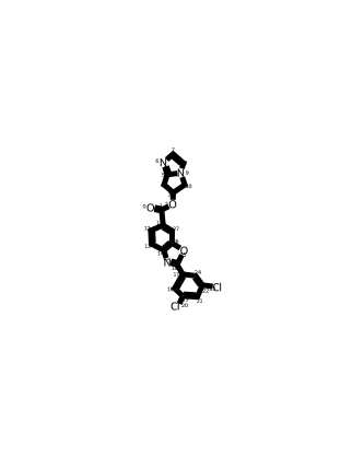 O=C(OC1Cc2nccn2C1)c1ccc2nc(-c3cc(Cl)cc(Cl)c3)oc2c1